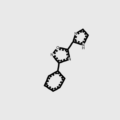 c1ccc(-c2noc(-c3ncc[nH]3)n2)cc1